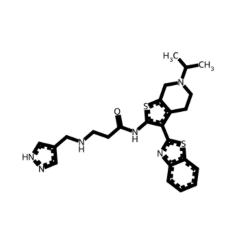 CC(C)N1CCc2c(sc(NC(=O)CCNCc3cn[nH]c3)c2-c2nc3ccccc3s2)C1